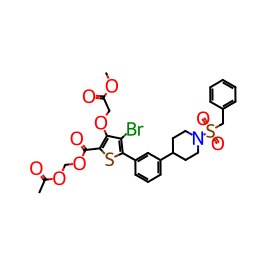 COC(=O)COc1c(C(=O)OCOC(C)=O)sc(-c2cccc(C3CCN(S(=O)(=O)Cc4ccccc4)CC3)c2)c1Br